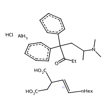 CCC(=O)C(CC(C)N(C)C)(c1ccccc1)c1ccccc1.CCCCCC/C=C/C(CC(=O)O)C(=O)O.Cl.[AlH3]